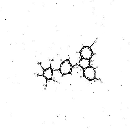 [2H]c1c([2H])c([2H])c(-c2ccc(-n3c4ccc(Br)cc4c4cc(Br)ccc43)cc2)c([2H])c1[2H]